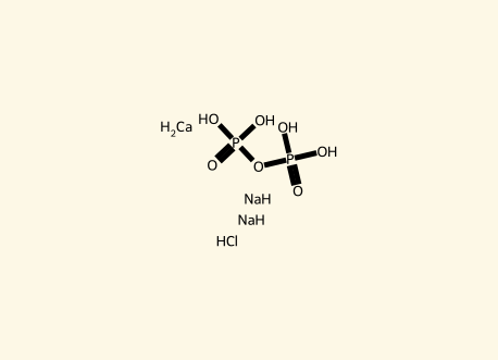 Cl.O=P(O)(O)OP(=O)(O)O.[CaH2].[NaH].[NaH]